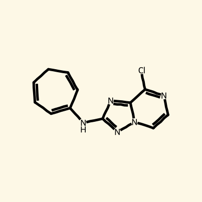 Clc1nccn2nc(NC3=CC=CCC=C3)nc12